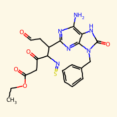 CCOC(=O)CC(=O)C(N=S)C(CC=O)c1nc(N)c2[nH]c(=O)n(Cc3ccccc3)c2n1